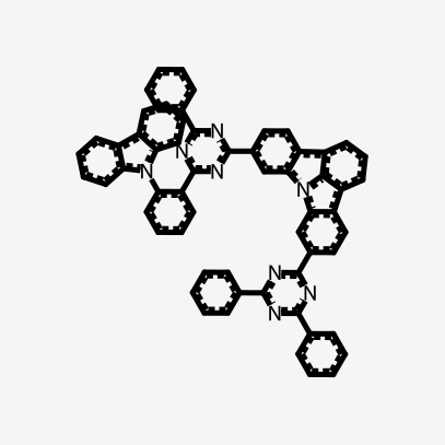 c1ccc(-c2nc(-c3ccccc3)nc(-c3ccc4c5cccc6c7ccc(-c8nc(-c9ccccc9)nc(-c9ccccc9-n9c%10ccccc%10c%10ccccc%109)n8)cc7n(c4c3)c56)n2)cc1